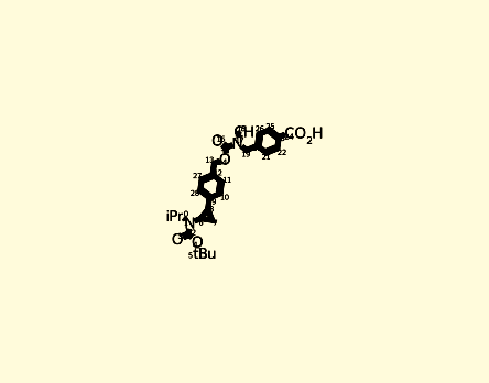 CC(C)N(C(=O)OC(C)(C)C)C1CC1c1ccc(COC(=O)N(C)Cc2ccc(C(=O)O)cc2)cc1